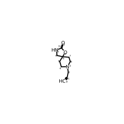 C#CCN1CCC2(CC1)CNC(=O)O2